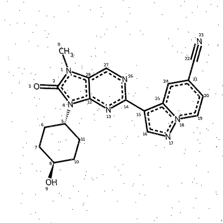 Cn1c(=O)n([C@H]2CC[C@H](O)CC2)c2nc(-c3cnn4ccc(C#N)cc34)ncc21